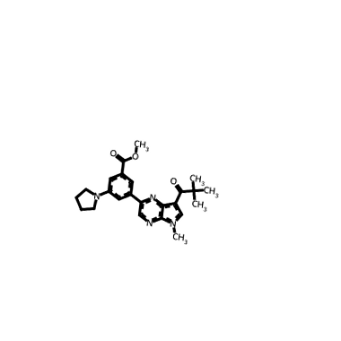 COC(=O)c1cc(-c2cnc3c(n2)c(C(=O)C(C)(C)C)cn3C)cc(N2CCCC2)c1